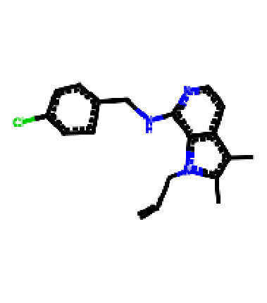 C=CCn1c(C)c(C)c2ccnc(NCc3ccc(Cl)cc3)c21